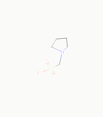 O=S(=O)(O)CN1CCCC1